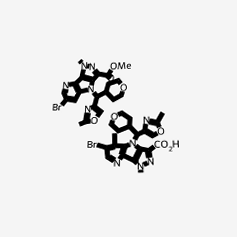 COC(=O)c1nn(C)c2c3ncc(Br)cc3n(C(c3coc(C)n3)C3CCOCC3)c12.Cc1nc(C(C2CCOCC2)n2c3c(C)c(Br)cnc3c3c2c(C(=O)O)nn3C)co1